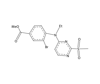 CCN(c1ccnc(S(C)(=O)=O)n1)c1ccc(C(=O)OC)cc1Br